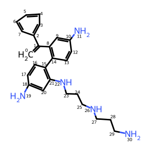 C=C(c1ccccc1)c1cc(N)ccc1-c1ccc(N)cc1NCCCNCCCN